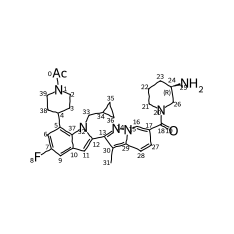 CC(=O)N1CCC(c2cc(F)cc3cc(-c4nn5cc(C(=O)N6CCC[C@@H](N)C6)ccc5c4C)n(CC4CC4)c23)CC1